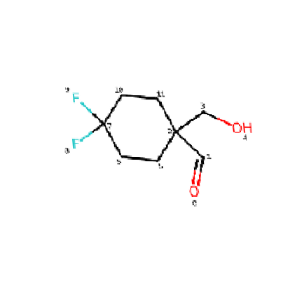 O=CC1(CO)CCC(F)(F)CC1